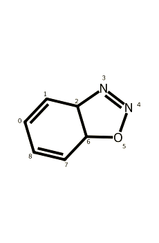 C1=CC2N=NOC2C=C1